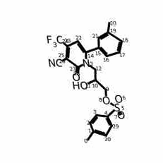 Cc1ccc(S(=O)(=O)OCC(O)Cn2c(-c3cccc(C)c3)cc(C(F)(F)F)c(C#N)c2=O)cc1